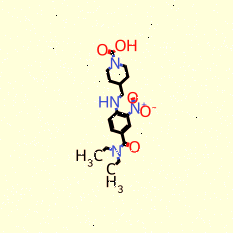 CCN(CC)C(=O)c1ccc(NCC2CCN(C(=O)O)CC2)c([N+](=O)[O-])c1